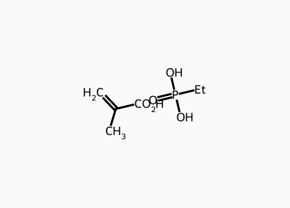 C=C(C)C(=O)O.CCP(=O)(O)O